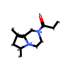 CCC(=O)N1CCN2C(=C(C)CC2C)C1